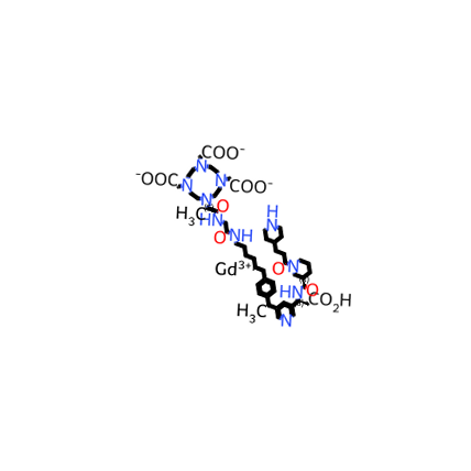 CC(c1ccc(CCCCCCNC(=O)CNC(=O)[C@H](C)N2CCN(CC(=O)[O-])CCN(CC(=O)[O-])CCN(CC(=O)[O-])CC2)cc1)c1cncc([C@H](CC(=O)O)NC(=O)[C@@H]2CCCN(C(=O)CCC3CCNCC3)C2)c1.[Gd+3]